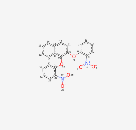 O=[N+]([O-])c1ccccc1Oc1ccc2ccccc2c1Oc1ccccc1[N+](=O)[O-]